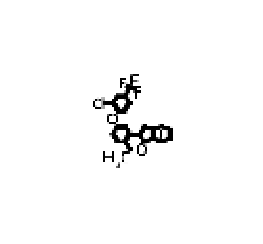 CCc1ccc(Oc2ccc(C(F)(F)F)cc2Cl)cc1C1=CC2C3CCC(O3)C2C1=O